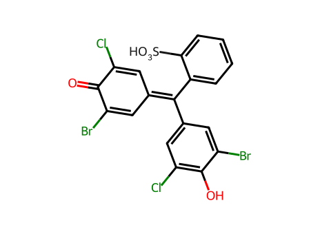 O=C1C(Cl)=C/C(=C(/c2cc(Cl)c(O)c(Br)c2)c2ccccc2S(=O)(=O)O)C=C1Br